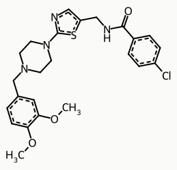 COc1ccc(CN2CCN(c3ncc(CNC(=O)c4ccc(Cl)cc4)s3)CC2)cc1OC